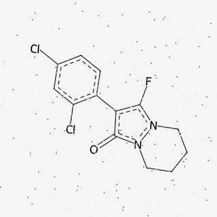 O=c1c(-c2ccc(Cl)cc2Cl)c(F)n2n1CCCC2